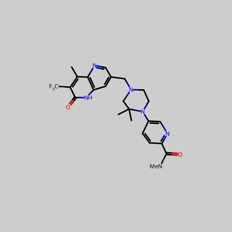 CNC(=O)c1ccc(N2CCN(Cc3cnc4c(C)c(C(F)(F)F)c(=O)[nH]c4c3)CC2(C)C)cn1